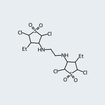 CCC1C(NCCNC2C(CC)C(Cl)S(=O)(=O)C2Cl)C(Cl)S(=O)(=O)C1Cl